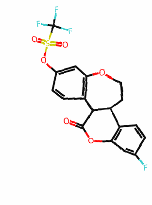 O=C1Oc2cc(F)ccc2C2CCOc3cc(OS(=O)(=O)C(F)(F)F)ccc3C12